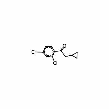 O=C(CC1CC1)c1ccc(Cl)cc1Cl